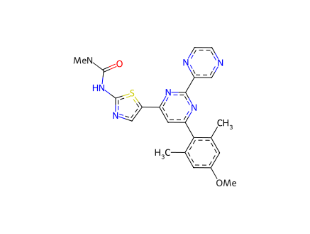 CNC(=O)Nc1ncc(-c2cc(-c3c(C)cc(OC)cc3C)nc(-c3cnccn3)n2)s1